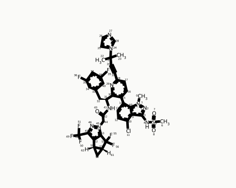 Cn1nc(NS(C)(=O)=O)c2c(Cl)ccc(-c3ccc(C#CC(C)(C)n4ccnc4)nc3[C@H](Cc3cc(F)cc(F)c3)NC(=O)Cn3nc(C(F)(F)F)c4c3C(F)(F)[C@@H]3C[C@H]43)c21